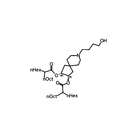 CCCCCCCCC(CCCCCC)C(=O)O[C@@H]1CC2(CCN(CCCCO)CC2)C[C@H]1OC(=O)C(CCCCCC)CCCCCCCC